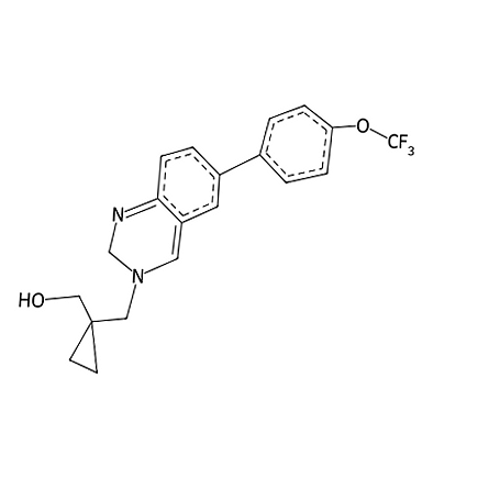 OCC1(CN2C=c3cc(-c4ccc(OC(F)(F)F)cc4)ccc3=NC2)CC1